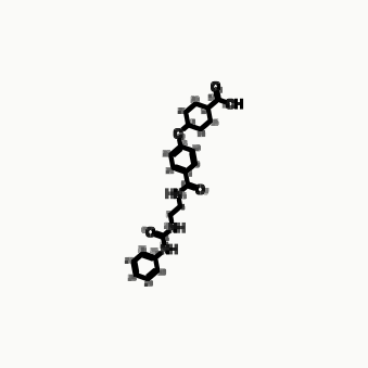 O=C(NCCNC(=O)c1ccc(OC2CCC(C(=O)O)CC2)cc1)Nc1ccccc1